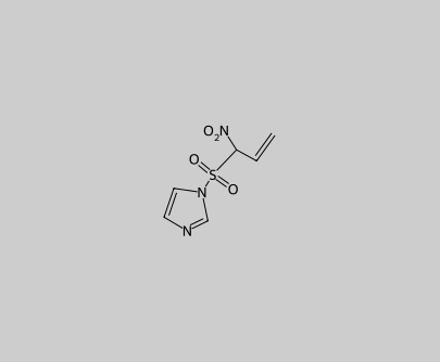 C=CC([N+](=O)[O-])S(=O)(=O)n1ccnc1